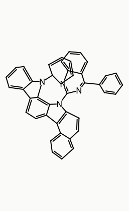 C1=CCC(n2c3ccccc3c3ccc4c5c6ccccc6ccc5n(-c5nc(-c6ccccc6)c6ccccc6n5)c4c32)C=C1